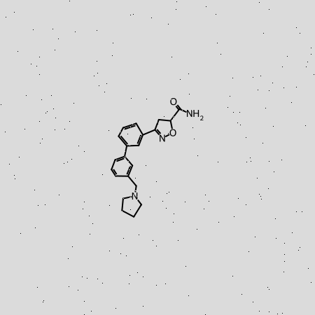 NC(=O)C1CC(c2cccc(-c3cccc(CN4CCCC4)c3)c2)=NO1